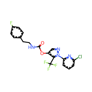 O=C(NCCc1ccc(F)cc1)Oc1cnn(-c2cccc(Cl)n2)c1C(F)(F)F